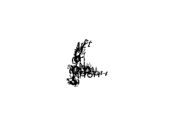 CCc1cc2cc(-c3c(C)nc(NCc4nccs4)nc3N[C@@H]3C[C@H](CO)[C@@H](O)[C@H]3O)oc2cn1